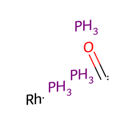 P.P.P.[C]=O.[Rh]